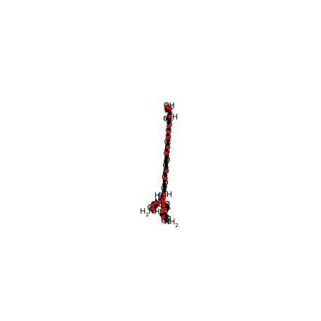 COC(=O)N(CCN(CC(=O)NCCOCCOCCOCCOCCOCCOCCOCCOCCOCCOCCOCCOCCC(=O)NCCc1ccc(O)cc1)CC(=O)Nc1ccc(S(N)(=O)=O)cc1)CC(=O)Nc1ccc(S(N)(=O)=O)cc1